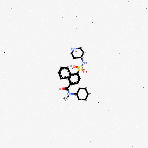 CN(C(=O)c1ccc(S(=O)(=O)NC2CCNCC2)c2ccccc12)C1CCCCC1